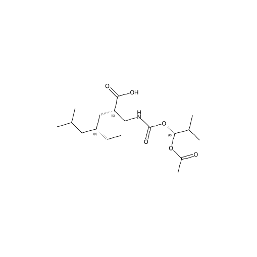 CC[C@H](CC(C)C)C[C@@H](CNC(=O)O[C@@H](OC(C)=O)C(C)C)C(=O)O